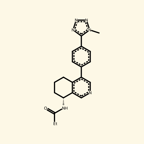 CCC(=O)N[C@@H]1CCCc2c(-c3ccc(-c4nnnn4C)cc3)cncc21